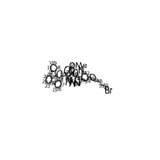 CO[C@@H]1O[C@H](COC(c2ccccc2)(c2ccccc2)c2ccccc2)[C@@H](N=[N+]=[N-])[C@H]1OCc1ccc(OCCCCBr)cc1[N+](=O)[O-]